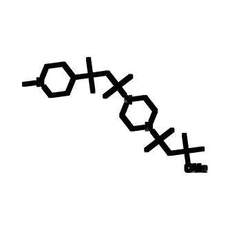 COC(C)(C)CC(C)(C)N1CCN(C(C)(C)CC(C)(C)C2CCN(C)CC2)CC1